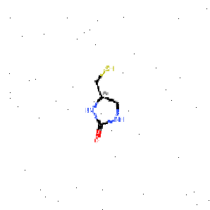 O=C1NC[C@H](CS)N1